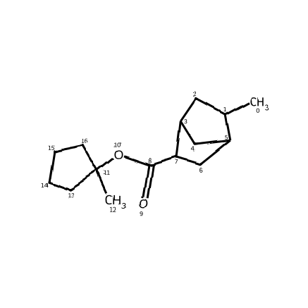 CC1CC2CC1CC2C(=O)OC1(C)CCCC1